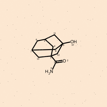 NC(=O)C12CC3CC(CC(O)(C3)C1)C2